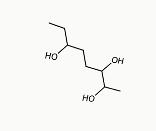 CCC(O)CCC(O)C(C)O